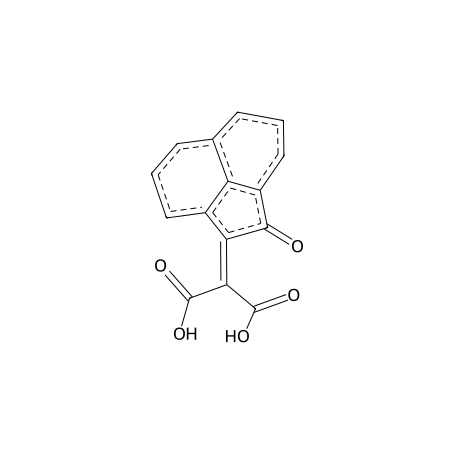 O=C(O)C(C(=O)O)=c1c(=O)c2cccc3cccc1c32